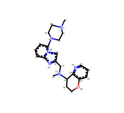 CN1CCN(c2cccc3nc(CN(C)C4CCOc5cccnc54)cn23)CC1